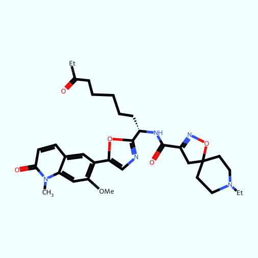 CCC(=O)CCCCC[C@H](NC(=O)C1=NOC2(CCN(CC)CC2)C1)c1ncc(-c2cc3ccc(=O)n(C)c3cc2OC)o1